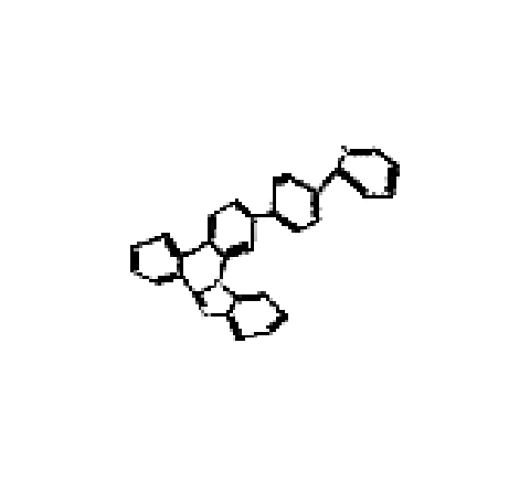 c1ccc(-c2ccc(-c3ccc4c5ccccc5c5nc6ccccc6n5c4c3)cc2)nc1